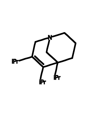 CC(C)C1=C(C(C)C)C2(C(C)C)CCCN(C1)C2